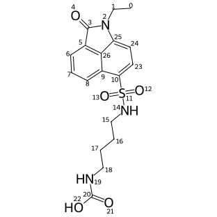 CCN1C(=O)c2cccc3c(S(=O)(=O)NCCCCNC(=O)O)ccc1c23